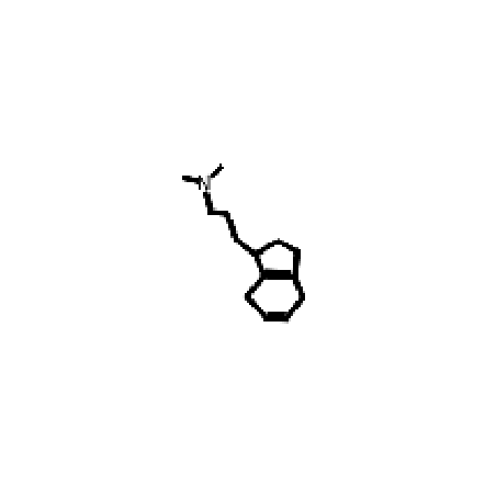 CN(C)CCCC1CCC2=C1CC=CC2